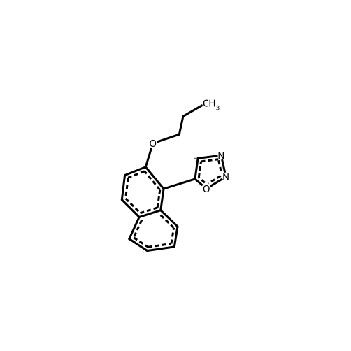 CCCOc1ccc2ccccc2c1-c1[c]nno1